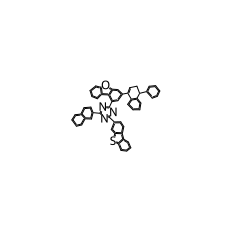 C1=C(c2cc(-c3nc(-c4ccc5ccccc5c4)nc(-c4ccc5c(c4)sc4ccccc45)n3)c3c(c2)oc2ccccc23)c2ccccc2C(c2ccccc2)C1